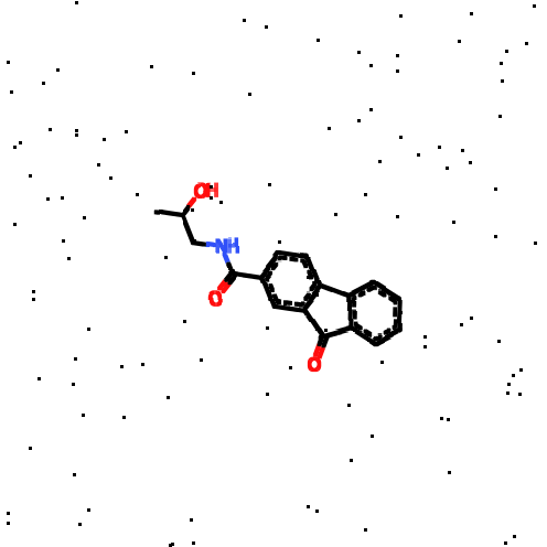 CC(O)CNC(=O)c1ccc2c(c1)C(=O)c1ccccc1-2